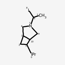 CC(C)C1CC2CN(C(C)I)CC21